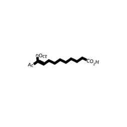 CCCCCCCC/C(=C\CCCCCCCC(=O)O)C(C)=O